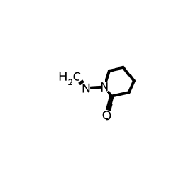 C=NN1CCCCC1=O